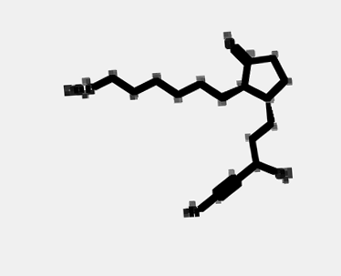 CCCC#CC(O)CC[C@H]1CCC(=O)[C@@H]1CCCCCCC(=O)OCC